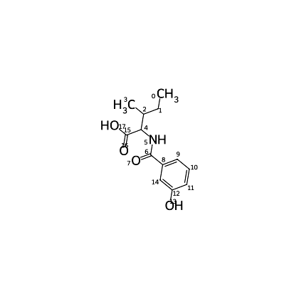 CCC(C)C(NC(=O)c1cccc(O)c1)C(=O)O